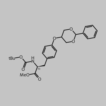 COC(=O)[C@H](Cc1ccc(OC2COC(c3ccccc3)OC2)cc1)NC(=O)OC(C)(C)C